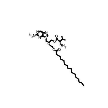 CCCCCCCCCCCCCCCC(=O)OCC[C@@H](COC(=O)[C@@H](N)C(C)C)Cn1cnc2cnc(N)nc21